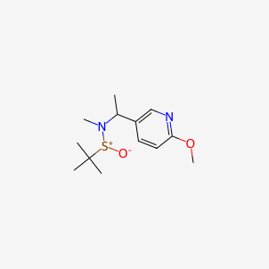 COc1ccc(C(C)N(C)[S+]([O-])C(C)(C)C)cn1